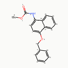 CC(C)(C)OC(=O)Nc1ccc(OCc2ccccc2)c2ccccc12